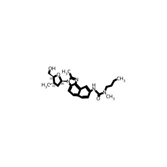 CCCCN(C)C(=O)Nc1ccc2ccc3c(nc(C)n3[C@H]3C[C@H](C)[C@@H](CO)O3)c2c1